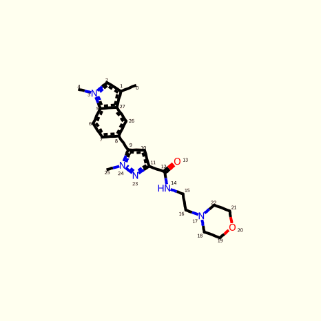 Cc1cn(C)c2ccc(-c3cc(C(=O)NCCN4CCOCC4)nn3C)cc12